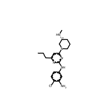 CCCc1cc(N2CCC[C@@H](NC)C2)nc(Nc2ccc(Cl)c(N)c2)n1